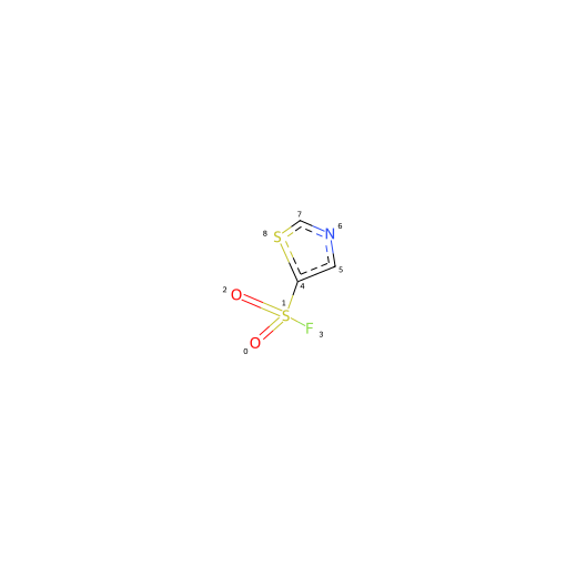 O=S(=O)(F)c1cncs1